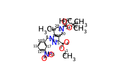 CCOC(=O)c1nn(Cc2cccc([N+](=O)[O-])c2)c2c1CN(C(=O)OC(C)(C)C)CC2C